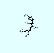 C=CC/C(=C\C[C@H](O)/C(C)=C/c1csc(C)n1)CO